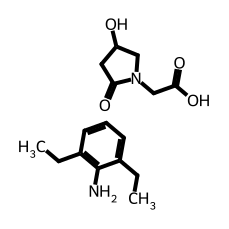 CCc1cccc(CC)c1N.O=C(O)CN1CC(O)CC1=O